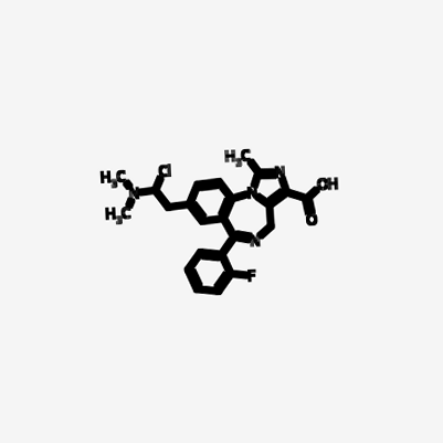 Cc1nc(C(=O)O)c2n1-c1ccc(CC(Cl)N(C)C)cc1C(c1ccccc1F)=NC2